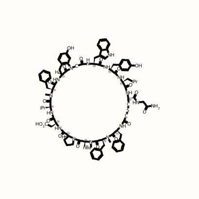 CCCC[C@H]1C(=O)N2CCC[C@H]2C(=O)N[C@@H](CC(=O)O)C(=O)N[C@@H](C(C)C)C(=O)N(C)[C@@H](Cc2ccccc2)C(=O)N[C@H]2Cc3ccc(O)cc3N(CC(=O)N[C@@H](Cc3c[nH]c4ccccc34)C(=O)N[C@@H](Cc3ccc(O)cc3)C(=O)N[C@@H](CC(C)C)C(=O)N[C@H](C(=O)NCC(N)=O)CSCC(=O)N[C@@H](Cc3ccccc3)C(=O)N(C)[C@@H](Cc3ccccc3)C(=O)N1C)C2=O